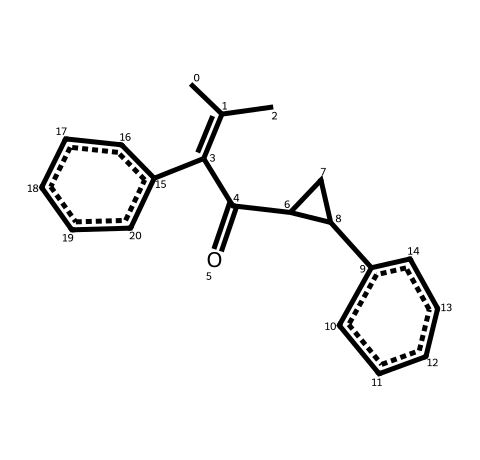 CC(C)=C(C(=O)C1CC1c1ccccc1)c1ccccc1